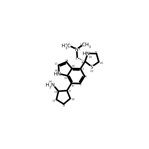 CN(C)C[C@]1(c2ccc(C3CCCC3N)c3[nH]ccc23)NCCS1